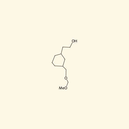 COCOCC1CCCC(CCO)C1